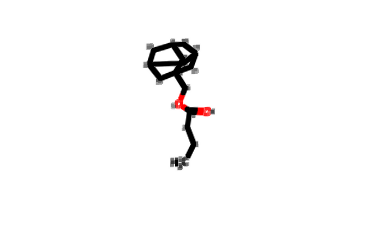 CCCC(=O)OCC12CC3CC(CC(C3)C1)C2